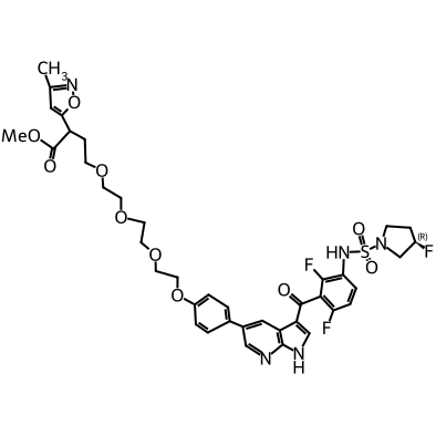 COC(=O)C(CCOCCOCCOCCOc1ccc(-c2cnc3[nH]cc(C(=O)c4c(F)ccc(NS(=O)(=O)N5CC[C@@H](F)C5)c4F)c3c2)cc1)c1cc(C)no1